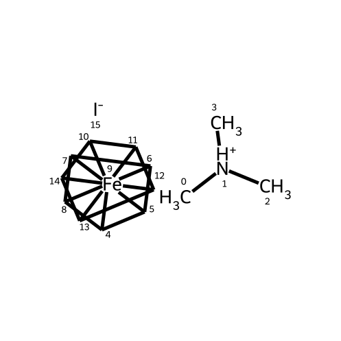 C[NH+](C)C.[CH]12[CH]3[CH]4[CH]5[CH]1[Fe]23451678[CH]2[CH]1[CH]6[CH]7[CH]28.[I-]